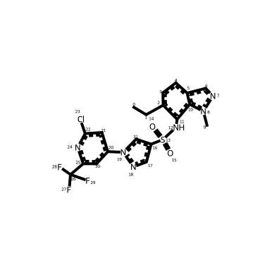 CCc1ccc2cnn(C)c2c1NS(=O)(=O)c1cnn(-c2cc(Cl)nc(C(F)(F)F)c2)c1